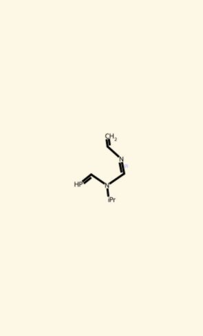 C=C/N=C\N(C=P)C(C)C